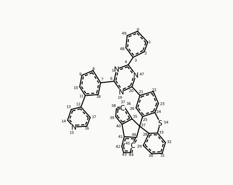 c1ccc(-c2nc(-c3cccc(-c4ccncc4)c3)nc(-c3ccc4c(c3)C3(c5ccccc5S4)c4ccccc4-c4ccccc43)n2)cc1